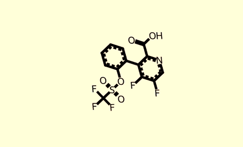 O=C(O)c1ncc(F)c(F)c1-c1ccccc1OS(=O)(=O)C(F)(F)F